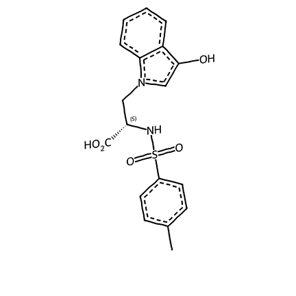 Cc1ccc(S(=O)(=O)N[C@@H](Cn2cc(O)c3ccccc32)C(=O)O)cc1